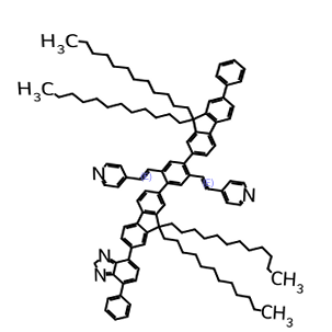 CCCCCCCCCCCCC1(CCCCCCCCCCCC)c2cc(-c3ccccc3)ccc2-c2ccc(-c3cc(/C=C/c4ccncc4)c(-c4ccc5c(c4)C(CCCCCCCCCCCC)(CCCCCCCCCCCC)c4cc(-c6ccc(-c7ccccc7)c7c6=NCN=7)ccc4-5)cc3/C=C/c3ccncc3)cc21